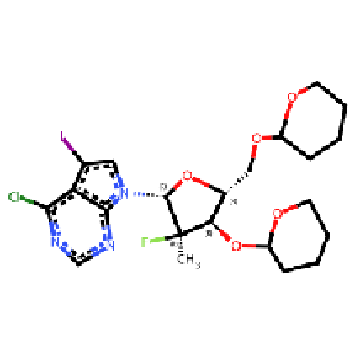 C[C@@]1(F)[C@H](OC2CCCCO2)[C@@H](COC2CCCCO2)O[C@H]1n1cc(I)c2c(Cl)ncnc21